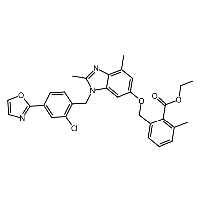 CCOC(=O)c1c(C)cccc1COc1cc(C)c2nc(C)n(Cc3ccc(-c4ncco4)cc3Cl)c2c1